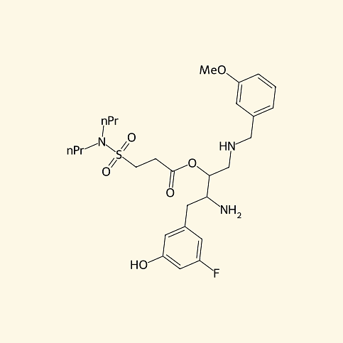 CCCN(CCC)S(=O)(=O)CCC(=O)OC(CNCc1cccc(OC)c1)C(N)Cc1cc(O)cc(F)c1